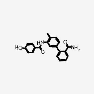 Cc1ccc(-c2ccccc2C(N)=O)cc1NC(=O)c1ccc(O)cc1